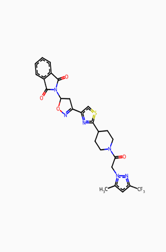 Cc1cc(C(F)(F)F)nn1CC(=O)N1CCC(c2nc(C3=NOC(N4C(=O)c5ccccc5C4=O)C3)cs2)CC1